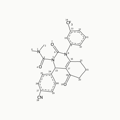 CN(C)C(=O)N1C(=O)N(c2cccc(C(F)(F)F)c2)C2=C(C(=O)CCC2)C1c1ccc(C#N)cc1